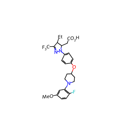 CCC1C(C(F)(F)F)=NN(c2ccc(OC3CCN(c4cc(OC)ccc4F)CC3)cc2)C1CC(=O)O